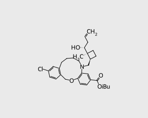 C=CC[C@@H](O)[C@@]1(C)CC[C@H]1CN1CCCCc2cc(Cl)ccc2COc2ccc(C(=O)OCC(C)C)cc21